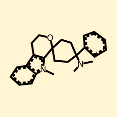 CN(C)C1(c2ccccc2)CCC2(CC1)OCCc1c2n(C)c2ccccc12